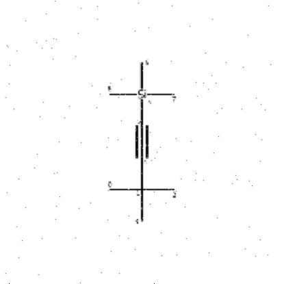 CC(C)(C)C#C[Si](C)(C)C